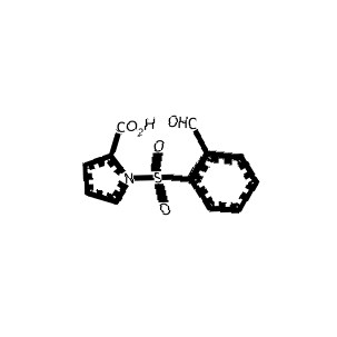 O=Cc1ccccc1S(=O)(=O)n1cccc1C(=O)O